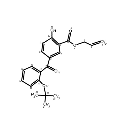 C=CCOC(=O)c1cc(C(=O)c2ccccc2OC(C)(C)C)ccc1O